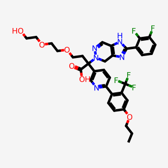 CCCOc1ccc(-c2ccc(C(CCOCCOCCO)(C(=O)O)N3Cc4nc(-c5cccc(F)c5F)[nH]c4C=N3)cn2)c(C(F)(F)F)c1